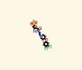 CS(=O)(=O)c1ccc(C(=O)NCCN2CCC(Oc3ccc(Cl)c(Cl)c3)CC2)s1